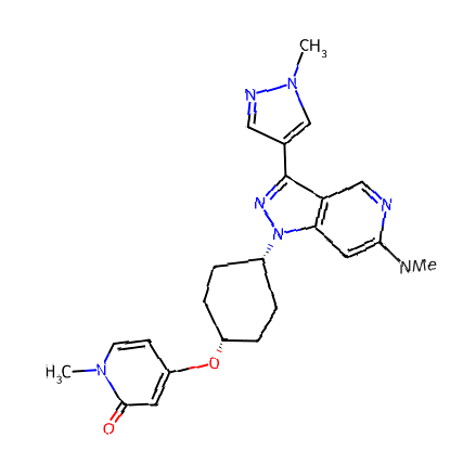 CNc1cc2c(cn1)c(-c1cnn(C)c1)nn2[C@H]1CC[C@@H](Oc2ccn(C)c(=O)c2)CC1